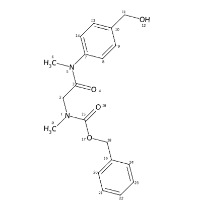 CN(CC(=O)N(C)c1ccc(CO)cc1)C(=O)OCc1ccccc1